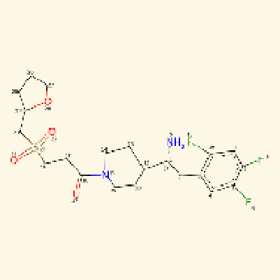 N[C@H](Cc1cc(F)c(F)cc1F)C1CCN(C(=O)CCS(=O)(=O)CC2CCCO2)CC1